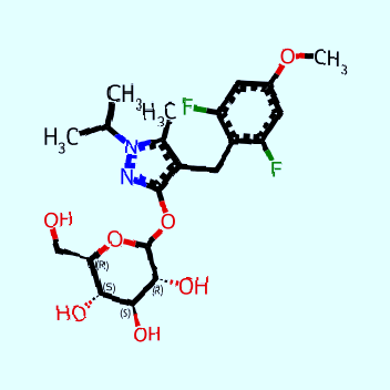 COc1cc(F)c(Cc2c(OC3O[C@H](CO)[C@@H](O)[C@H](O)[C@H]3O)nn(C(C)C)c2C)c(F)c1